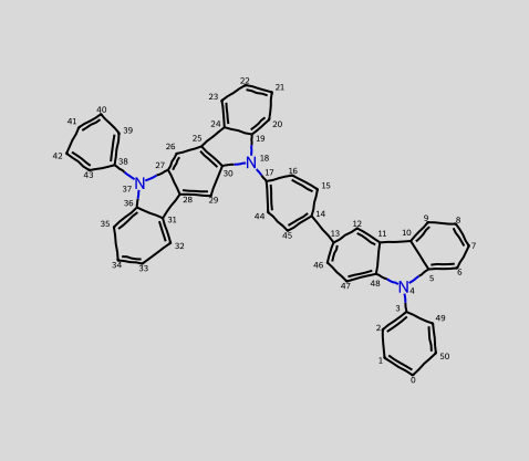 c1ccc(-n2c3ccccc3c3cc(-c4ccc(-n5c6ccccc6c6cc7c(cc65)c5ccccc5n7-c5ccccc5)cc4)ccc32)cc1